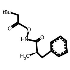 C[C@H](Cc1ccccc1)C(=O)NOC(=O)CC(C)(C)C